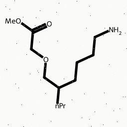 CCCC(CCCCN)COCC(=O)OC